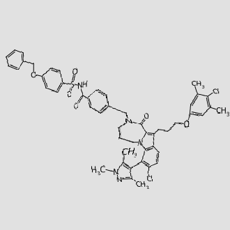 Cc1cc(OCCCc2c3n(c4c(-c5c(C)nn(C)c5C)c(Cl)ccc24)CCCN(Cc2ccc(C(=O)NS(=O)(=O)c4ccc(OCc5ccccc5)cc4)cc2)C3=O)cc(C)c1Cl